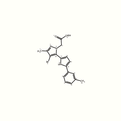 COC(=O)Cn1nc(C)c(Br)c1-c1ccc(-c2cccc(C)c2)[nH]1